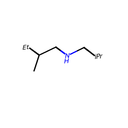 CCC(C)CNCC(C)C